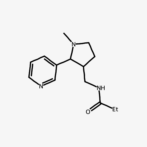 CCC(=O)NCC1CCN(C)C1c1cccnc1